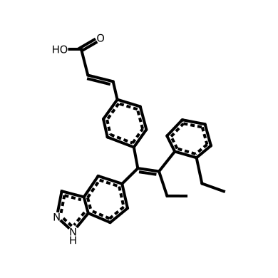 CC/C(=C(/c1ccc(/C=C/C(=O)O)cc1)c1ccc2[nH]ncc2c1)c1ccccc1CC